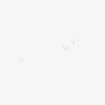 C=NC[C@@H](N)Cc1ccc(-c2ccc(C#N)c(F)c2)cc1